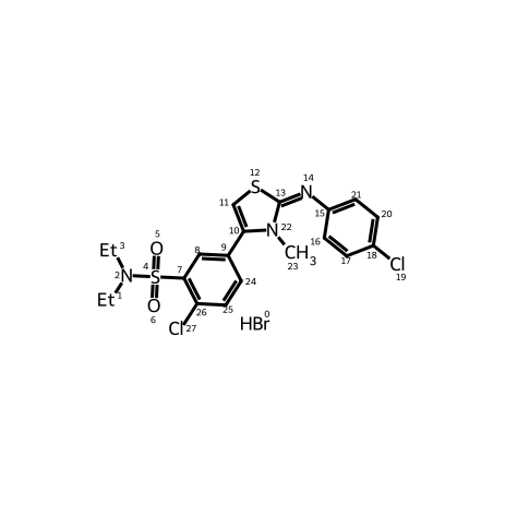 Br.CCN(CC)S(=O)(=O)c1cc(-c2cs/c(=N/c3ccc(Cl)cc3)n2C)ccc1Cl